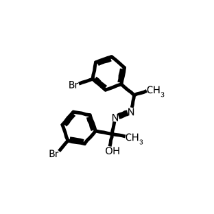 CC(/N=N/C(C)(O)c1cccc(Br)c1)c1cccc(Br)c1